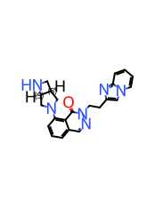 O=c1c2c(N3C[C@@H]4CN[C@@H]4C3)cccc2cnn1CCc1cn2ccccc2n1